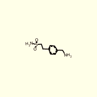 NCc1ccc(CCS(N)(=O)=O)cc1